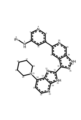 CC(C)Nc1cncc(-c2cc3c(-c4nc5c(N6CCCCC6)ccnc5[nH]4)n[nH]c3cn2)c1